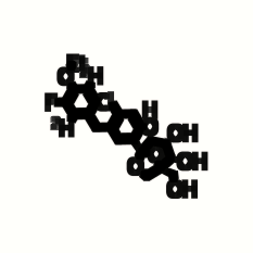 [2H]c1cc(Cc2cc([C@]34OC[C@](CO)(O3)[C@@H](O)[C@H](O)[C@H]4O)ccc2Cl)c([2H])c(F)c1OCC